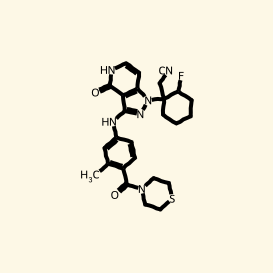 Cc1cc(Nc2nn(C3(CC#N)CCCCC3F)c3cc[nH]c(=O)c23)ccc1C(=O)N1CCSCC1